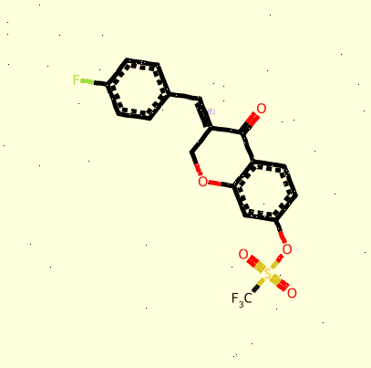 O=C1/C(=C/c2ccc(F)cc2)COc2cc(OS(=O)(=O)C(F)(F)F)ccc21